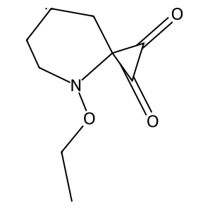 CCON1CC[CH]CC12C(=O)C2=O